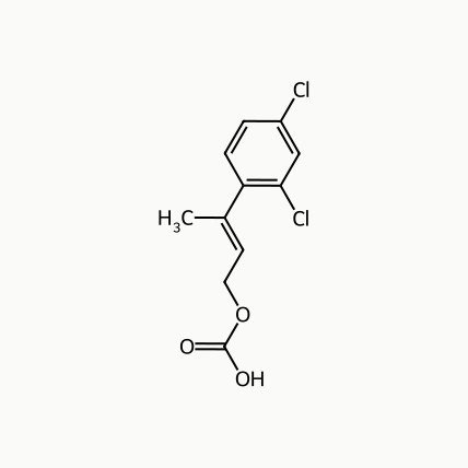 CC(=CCOC(=O)O)c1ccc(Cl)cc1Cl